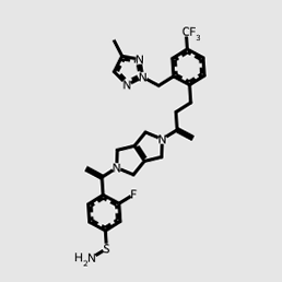 C=C(CCc1ccc(C(F)(F)F)cc1Cn1ncc(C)n1)N1CC2=C(C1)CN(C(=C)c1ccc(SN)cc1F)C2